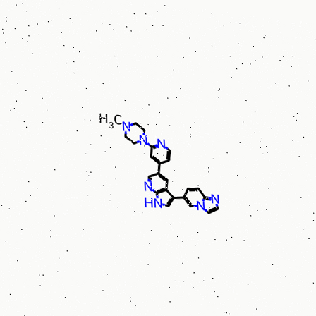 CN1CCN(c2cc(-c3cnc4[nH]cc(-c5ccc6nccn6c5)c4c3)ccn2)CC1